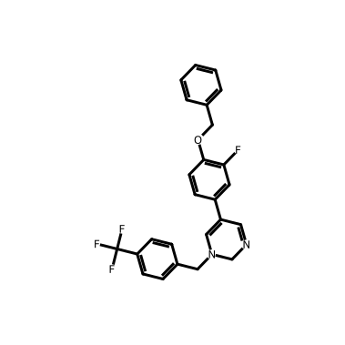 Fc1cc(C2=CN(Cc3ccc(C(F)(F)F)cc3)CN=C2)ccc1OCc1ccccc1